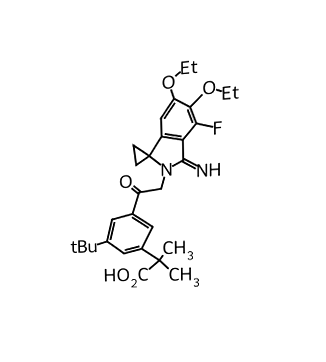 CCOc1cc2c(c(F)c1OCC)C(=N)N(CC(=O)c1cc(C(C)(C)C)cc(C(C)(C)C(=O)O)c1)C21CC1